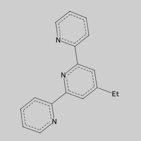 CCc1cc(-c2ccccn2)nc(-c2ccccn2)c1